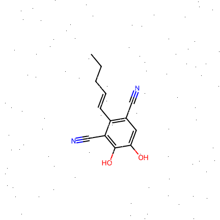 CCCC=Cc1c(C#N)cc(O)c(O)c1C#N